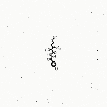 CCSCC[C@@H](N)C(O)C(=O)NNC(=O)c1ccc(Cl)cc1